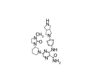 CN1CCN(C2CCCN(c3cnc(C(N)=O)c(Nc4ccc(N5CC6CNCC6C5)cc4)n3)C2)C1=O